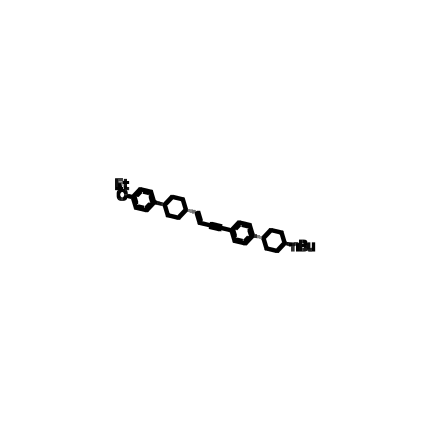 CCCC[C@H]1CC[C@H](c2ccc(C#CC=C[C@H]3CC[C@H](c4ccc(OCC)cc4)CC3)cc2)CC1